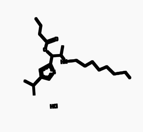 CCCCCCCCNC(C)C(OC(=O)CCC)c1cc(C(C)C)cs1.Cl